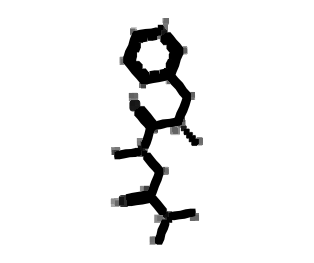 C[C@@H](Cc1cccnc1)C(=O)N(C)CC(=O)N(C)C